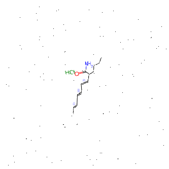 C/C=C/C=C/C=C/C(CCCC)C(N)=O.Cl